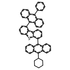 c1ccc(-c2c3ccccc3c(-c3cccc4sc5c(-c6c7ccccc7c(C7CCCCC7)c7ccccc67)cccc5c34)c3ccccc23)cc1